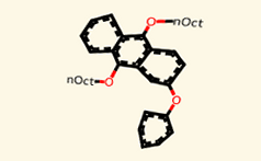 CCCCCCCCOc1c2ccccc2c(OCCCCCCCC)c2cc(Oc3ccccc3)ccc12